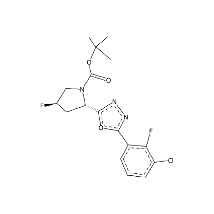 CC(C)(C)OC(=O)N1C[C@H](F)C[C@H]1c1nnc(-c2cccc(Cl)c2F)o1